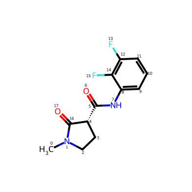 CN1CC[C@@H](C(=O)Nc2cccc(F)c2F)C1=O